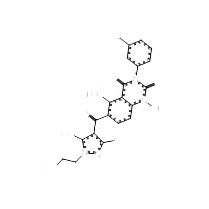 CCCn1nc(C)c(C(=O)c2ccc3c(c2C)c(=O)n(-c2cccc(Cl)c2)c(=O)n3C)c1O